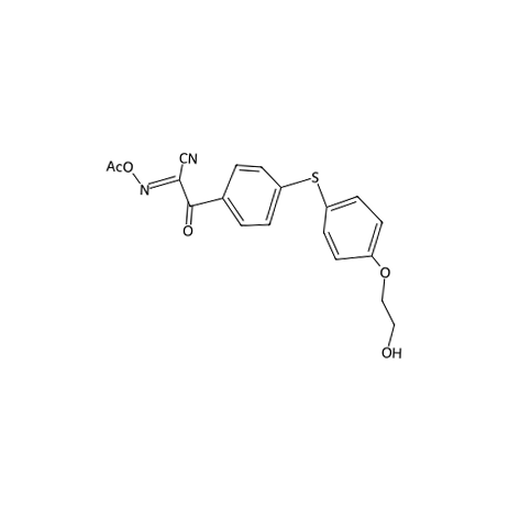 CC(=O)O/N=C(\C#N)C(=O)c1ccc(Sc2ccc(OCCO)cc2)cc1